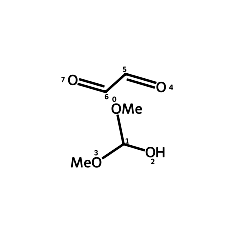 COC(O)OC.O=CC=O